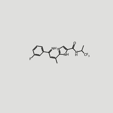 C/C(=C/C(=N)c1cccc(F)c1)c1ncc(C(=O)NC(C)C(F)(F)F)[nH]1